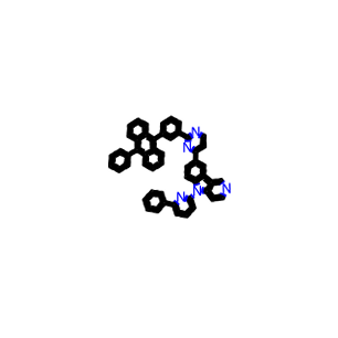 c1ccc(-c2cccc(-n3c4ccncc4c4cc(-c5ccnc(-c6cccc(-c7c8ccccc8c(-c8ccccc8)c8ccccc78)c6)n5)ccc43)n2)cc1